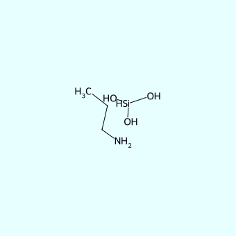 CCCN.O[SiH](O)O